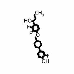 CCCC(O)c1ccc(OCC2CCC(c3ccc(O)c(F)c3)CC2)c(F)c1F